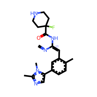 C=N/C(=C\c1cc(-c2cnc(C)n2C)ccc1C)NC(=O)C1(F)CCNCC1